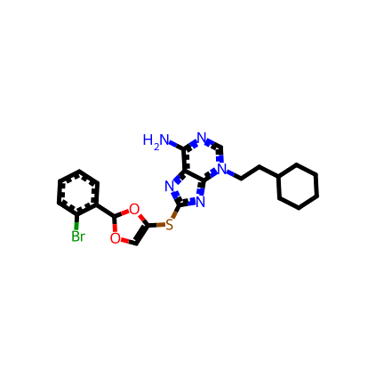 Nc1ncn(CCC2CCCCC2)c2nc(SC3=COC(c4ccccc4Br)O3)nc1-2